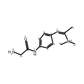 CC(=Nc1ccc(NC(=O)CN)cc1)N(C)C